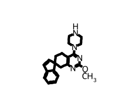 COc1nc2c(c(N3CCNCC3)n1)CCC1(C=Cc3ccccc31)C2